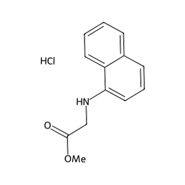 COC(=O)CNc1cccc2ccccc12.Cl